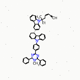 C#C/C=C\CC(C)(CC)n1c2ccccc2c2cc([C@H]3CC=Cc4c3c3ccccc3n4-c3ccc(C4=NC(c5ccccc5)N(C)C(c5ccccc5)=N4)cc3)ccc21